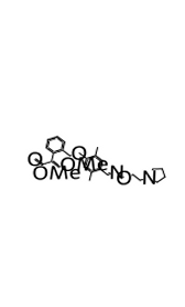 CO/C=C(/C(=O)OC)c1ccccc1COc1cc(C)c(/C=N/OCCN2CCCC2)cc1C